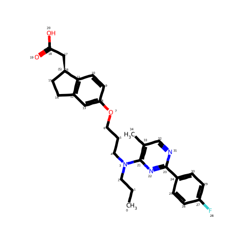 CCCN(CCCOc1ccc2c(c1)CC[C@H]2CC(=O)O)c1nc(-c2ccc(F)cc2)ncc1C